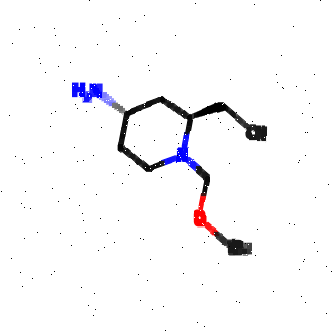 CC(C)(C)OCN1CC[C@H](N)C[C@H]1CC#N